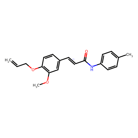 C=CCOc1ccc(/C=C/C(=O)Nc2ccc(C)cc2)cc1OC